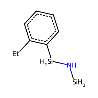 CCc1ccccc1[SiH2]N[SiH3]